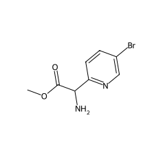 COC(=O)C(N)c1ccc(Br)cn1